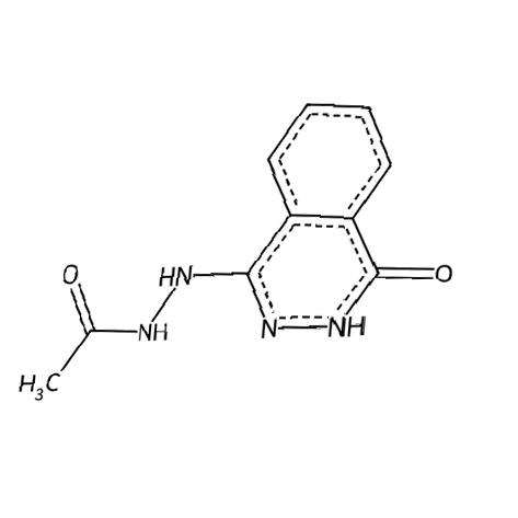 CC(=O)NNc1n[nH]c(=O)c2ccccc12